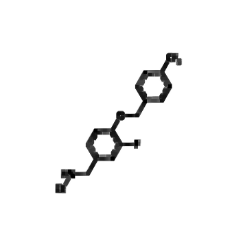 CCNCc1ccc(OCc2ccc(C(F)(F)F)cc2)c(F)c1